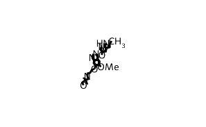 COc1cc2c(Oc3cnc4[nH]c(C)cc4c3)ncnc2cc1OCCCN1CC2(COC2)C1